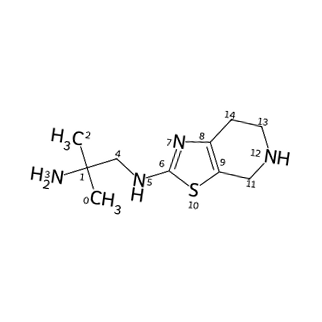 CC(C)(N)CNc1nc2c(s1)CNCC2